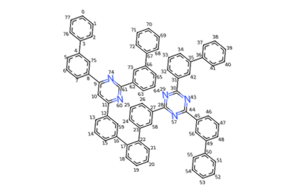 c1ccc(-c2cccc(-c3cc(-c4cccc(-c5ccccc5-c5cccc(-c6nc(-c7cccc(-c8ccccc8)c7)nc(-c7cccc(-c8ccccc8)c7)n6)c5)c4)nc(-c4cccc(-c5ccccc5)c4)n3)c2)cc1